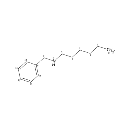 [CH2]CCCCCNCc1ccccc1